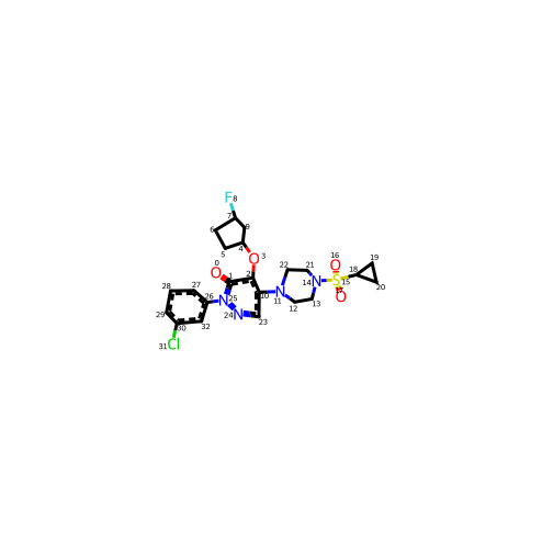 O=c1c(OC2CCC(F)C2)c(N2CCN(S(=O)(=O)C3CC3)CC2)cnn1-c1cccc(Cl)c1